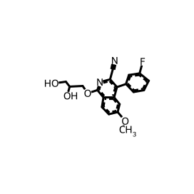 COc1ccc2c(OCC(O)CO)nc(C#N)c(-c3cccc(F)c3)c2c1